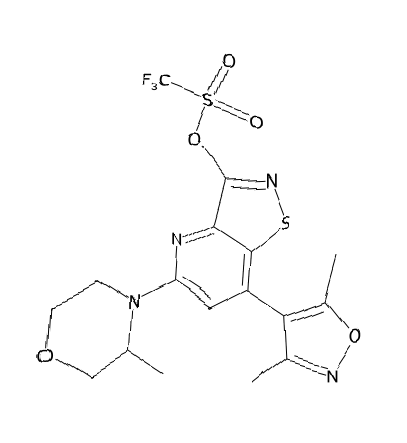 Cc1noc(C)c1-c1cc(N2CCOCC2C)nc2c(OS(=O)(=O)C(F)(F)F)nsc12